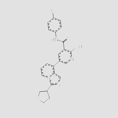 Cc1ncc(-c2cccn3c(C4CCOC4)ncc23)cc1C(=O)Nc1ccc(F)cc1